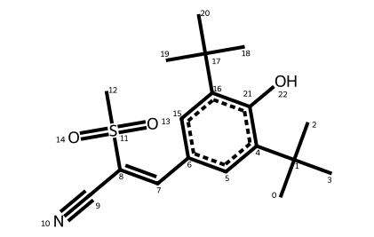 CC(C)(C)c1cc(/C=C(/C#N)S(C)(=O)=O)cc(C(C)(C)C)c1O